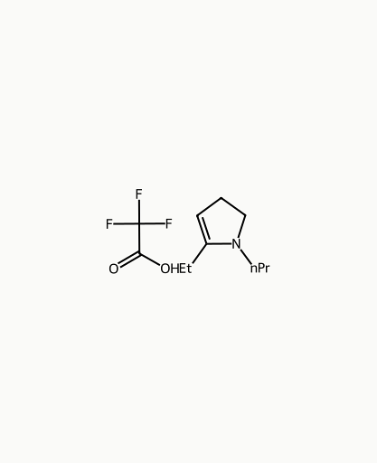 CCCN1CCC=C1CC.O=C(O)C(F)(F)F